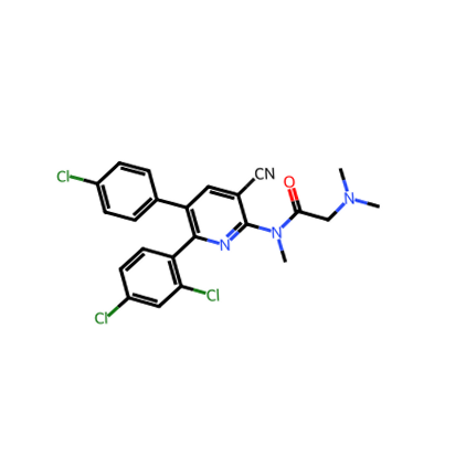 CN(C)CC(=O)N(C)c1nc(-c2ccc(Cl)cc2Cl)c(-c2ccc(Cl)cc2)cc1C#N